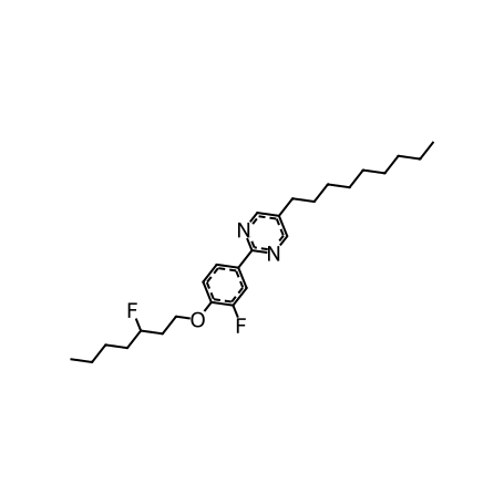 CCCCCCCCCc1cnc(-c2ccc(OCCC(F)CCCC)c(F)c2)nc1